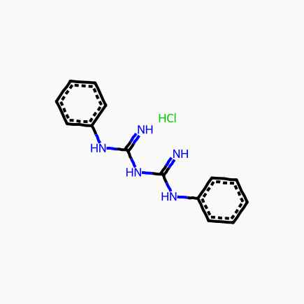 Cl.N=C(NC(=N)Nc1ccccc1)Nc1ccccc1